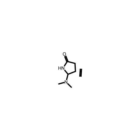 C=C.CN(C)C1CCC(=O)N1